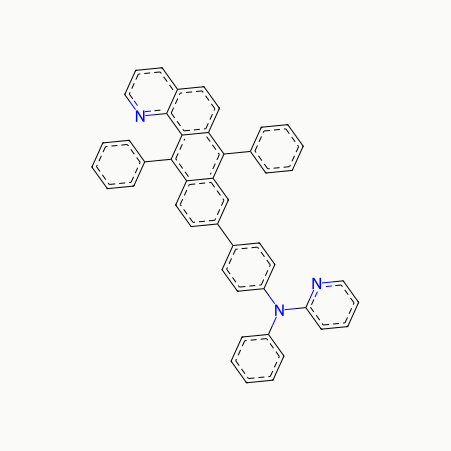 c1ccc(-c2c3cc(-c4ccc(N(c5ccccc5)c5ccccn5)cc4)ccc3c(-c3ccccc3)c3c2ccc2cccnc23)cc1